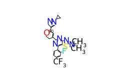 CN(C)c1nc2nc(C3=C[C@H](c4cnn(C5CC5)c4)OCC3)nc(-c3ccc(C(F)(F)F)cc3F)c2s1